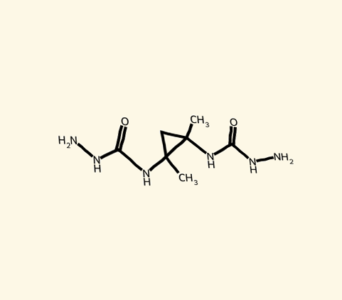 CC1(NC(=O)NN)CC1(C)NC(=O)NN